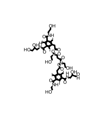 O=C(Cc1c(I)c(C(=O)NCCO)c(I)c(C(=O)NCC(O)CO)c1I)ON(CCO)C(=O)CC(=O)N(CCO)OC(=O)Cc1c(I)c(C(=O)NCCO)c(I)c(C(=O)NCC(O)CO)c1I